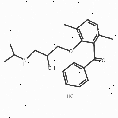 Cc1ccc(C)c(C(=O)c2ccccc2)c1OCC(O)CNC(C)C.Cl